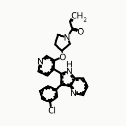 C=CC(=O)N1CC[C@@H](Oc2cnccc2-c2[nH]c3cccnc3c2-c2cccc(Cl)c2)C1